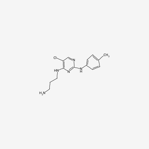 Cc1ccc(Nc2ncc(Cl)c(NCCCN)n2)cc1